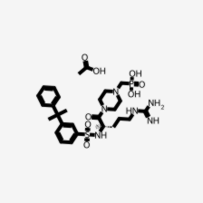 CC(=O)O.CC(C)(c1ccccc1)c1cccc(S(=O)(=O)N[C@@H](CCCNC(=N)N)C(=O)N2CCN(CP(=O)(O)O)CC2)c1